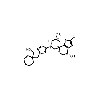 C[C@H]1C[C@@]2(C[C@@H](c3cn(CC4(CO)CCOCC4)nn3)N1)OC[C@@H](O)c1cc(Cl)sc12